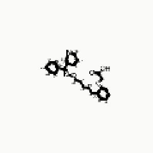 O=C(O)COc1ccccc1CCCCCON=C(c1ccccc1)c1cccnc1